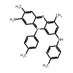 Cc1ccc(Nc2cc(C)c3nc4cc(C)c(N)cc4[n+](-c4ccc(C)cc4)c3c2)cc1